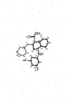 NC(=O)c1c(CC2CCOCC2)cc(Nc2cc(F)cc(F)c2)c2ccccc12